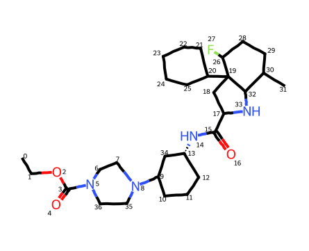 CCOC(=O)N1CCN(C2CCC[C@@H](NC(=O)C3CC4(C5CCCCC5)C(F)CCC(C)C4N3)C2)CC1